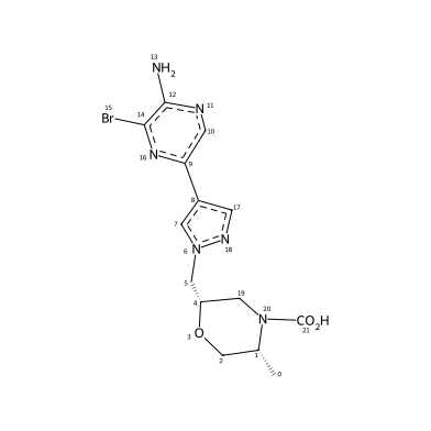 C[C@@H]1CO[C@H](Cn2cc(-c3cnc(N)c(Br)n3)cn2)CN1C(=O)O